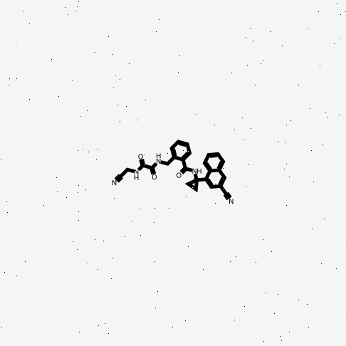 N#CCNC(=O)C(=O)NCc1ccccc1C(=O)NC1(c2cc(C#N)cc3ccccc23)CC1